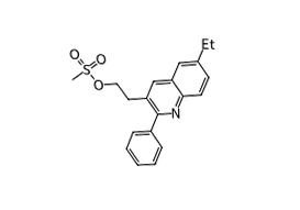 CCc1ccc2nc(-c3ccccc3)c(CCOS(C)(=O)=O)cc2c1